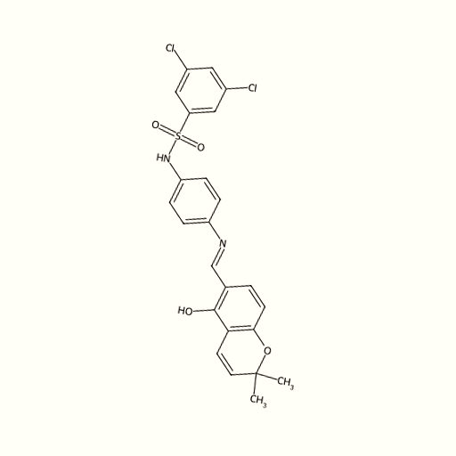 CC1(C)C=Cc2c(ccc(C=Nc3ccc(NS(=O)(=O)c4cc(Cl)cc(Cl)c4)cc3)c2O)O1